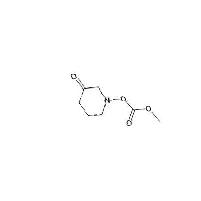 COC(=O)ON1CCCC(=O)C1